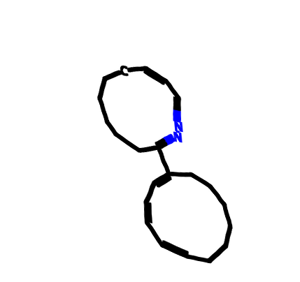 C1=CC=C(C2=NN=CC=CCCCCCC2)CCCCCCC=C1